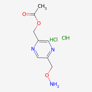 CC(=O)OCc1cnc(CON)cn1.Cl.Cl